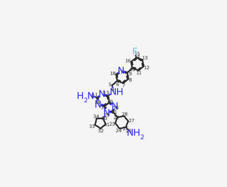 Nc1nc(NCc2ccc(-c3cccc(F)c3)nc2)c2nc(C3CCC(N)CC3)n(C3CCCC3)c2n1